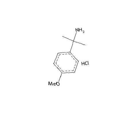 COc1ccc(C(C)(C)N)cc1.Cl